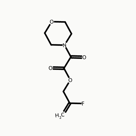 C=C(F)COC(=O)C(=O)N1CCOCC1